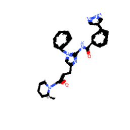 C[C@H]1CCCCN1C(=O)CCc1cn(-c2ccccc2)c(NC(=O)c2cccc(-c3cn[nH]c3)c2)n1